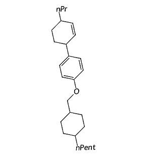 CCCCCC1CCC(COc2ccc(C3C=CC(CCC)CC3)cc2)CC1